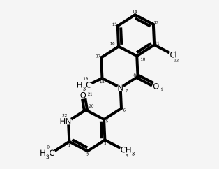 Cc1cc(C)c(CN2C(=O)c3c(Cl)cccc3CC2C)c(=O)[nH]1